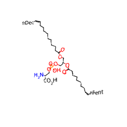 CCCCC/C=C\CCCCCCCC(=O)O[C@H](COC(=O)CCCCCCCCC/C=C\CCCCCCCCCC)COP(=O)(O)OC[C@H](N)C(=O)O